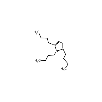 CCCCc1cc[n+](CCCC)n1CCCC